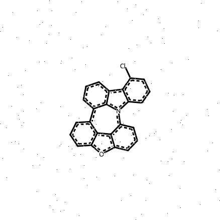 Clc1cccc2c1c1cccc3c4cccc5oc6cccc(c6c54)n2c31